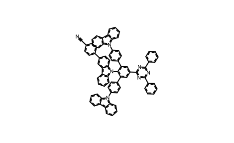 N#Cc1ccc(-c2ccc3c(c2)c2ccccc2n3-c2c(-c3ccc(-n4c5ccccc5c5ccccc54)cc3)cc(-c3nc(-c4ccccc4)nc(-c4ccccc4)n3)cc2-c2ccc(-n3c4ccccc4c4ccccc43)cc2)cc1